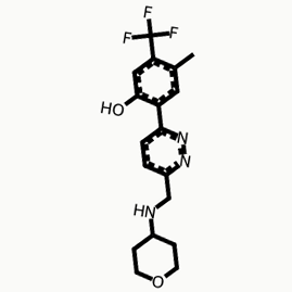 Cc1cc(-c2ccc(CNC3CCOCC3)nn2)c(O)cc1C(F)(F)F